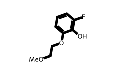 COCCOc1cccc(F)c1O